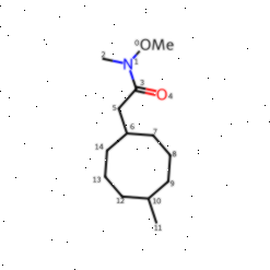 CON(C)C(=O)CC1CCCC(C)CCC1